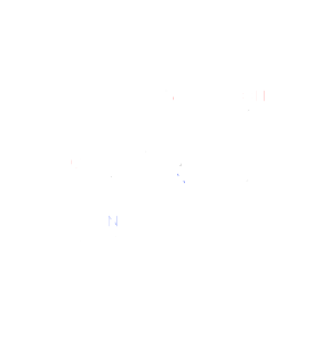 CO[C@@H]1CN(C(C)C(=O)O)CCN1C